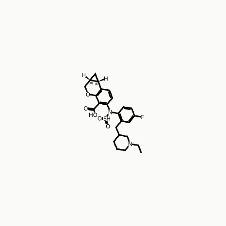 CCN1CCCC(Cc2cc(F)ccc2N(c2ccc3c(c2C(=O)O)OC[C@@H]2C[C@H]32)[SH](=O)=O)C1